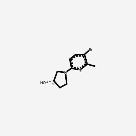 Cc1nc(N2CC[C@H](O)C2)ccc1Br